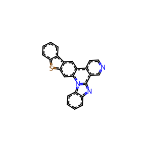 c1ccc2c(c1)nc1c3cnccc3c3cc4c(cc3n21)sc1ccccc14